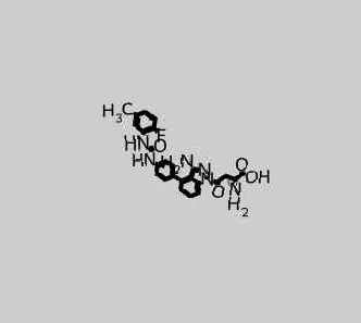 Cc1ccc(F)c(NC(=O)Nc2ccc(-c3cccc4c3c(N)nn4C(=O)C[C@H](N)C(=O)O)cc2)c1